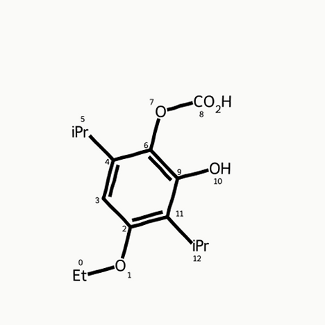 CCOc1cc(C(C)C)c(OC(=O)O)c(O)c1C(C)C